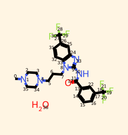 CN1CCN(CCCn2c(NC(=O)c3cccc(C(F)(F)F)c3)nc3cc(C(F)(F)F)ccc32)CC1.O